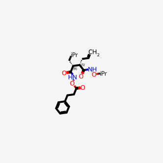 C=CC[C@H](C(=O)NOC(C)C)[C@@H](CC(C)C)C(=O)NOC(=O)CCc1ccccc1